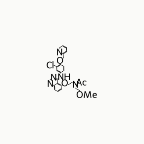 COCCN(CCOc1cccc2ncnc(Nc3ccc(OCc4ccccn4)c(Cl)c3)c12)C(C)=O